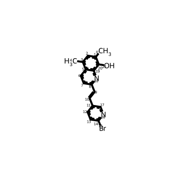 Cc1cc(C)c2ccc(/C=C/c3ccc(Br)nc3)nc2c1O